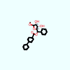 COC1O[C@H]([C@H](OC(=O)c2ccc(-c3ccccc3)cc2)c2ccccc2)[C@@H](O)[C@H]1O